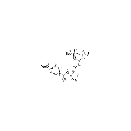 C=C[C@H](OC(O)c1ccc(OC)cc1)[C@@H](C)CC[C@H](CC(=O)O)O[Si](C)(C)C(C)(C)C